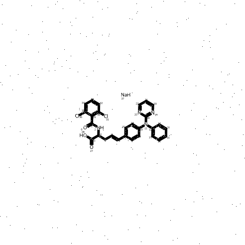 O=C(NC(CC=Cc1ccc(N(c2ccccc2)c2ncccn2)cc1)C(=O)O)c1c(Cl)cccc1Cl.[NaH]